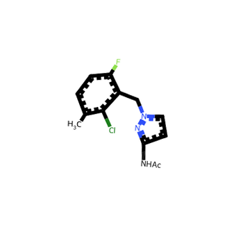 CC(=O)Nc1ccn(Cc2c(F)ccc(C)c2Cl)n1